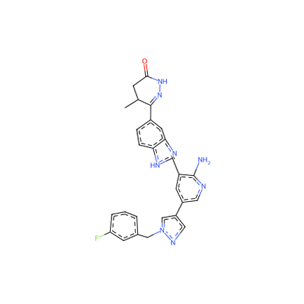 CC1CC(=O)NN=C1c1ccc2[nH]c(-c3cc(-c4cnn(Cc5cccc(F)c5)c4)cnc3N)nc2c1